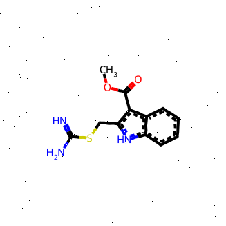 COC(=O)c1c(CSC(=N)N)[nH]c2ccccc12